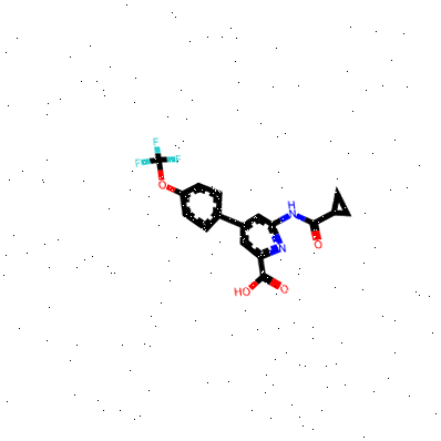 O=C(O)c1cc(-c2ccc(OC(F)(F)F)cc2)cc(NC(=O)C2CC2)n1